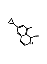 OC1NC=Cc2cc(C3CC3)cc(F)c21